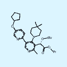 Cc1ncc(-c2ccc(OC3CCCC3)cn2)c(N2CCC(C)(C)CC2)c1[C@H](OC(C)(C)C)C(=O)OC(C)C